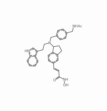 CC(=O)NCc1ccc(CN(CCc2c[nH]c3ccccc23)C2CCc3cc(/C=C/C(=O)NO)ccc32)cc1